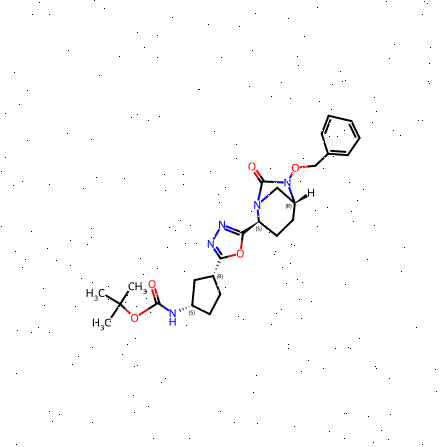 CC(C)(C)OC(=O)N[C@H]1CC[C@@H](c2nnc([C@@H]3CC[C@@H]4CN3C(=O)N4OCc3ccccc3)o2)C1